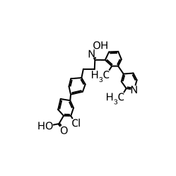 Cc1cc(-c2cccc(/C(CCc3ccc(-c4ccc(C(=O)O)c(Cl)c4)cc3)=N\O)c2C)ccn1